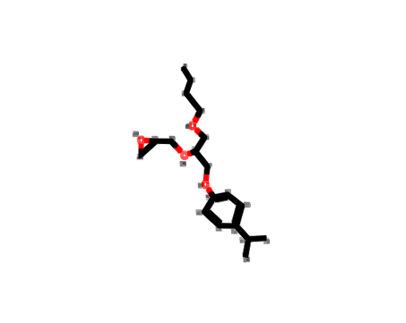 CCCCOCC(COc1ccc(C(C)C)cc1)OCC1CO1